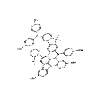 CC(C)(C)c1ccc(N2B3c4cc(C(C)(C)C)ccc4-n4c5ccc(C(C)(C)C)cc5c5c6c(c(c3c54)-c3cc4c(cc32)C(C)(C)c2ccc(N(c3ccc(C(C)(C)C)cc3)c3ccc(C(C)(C)C)cc3)cc2-4)-c2ccccc2C6(C)C)cc1